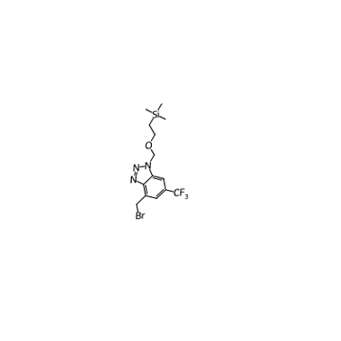 C[Si](C)(C)CCOCn1nnc2c(CBr)cc(C(F)(F)F)cc21